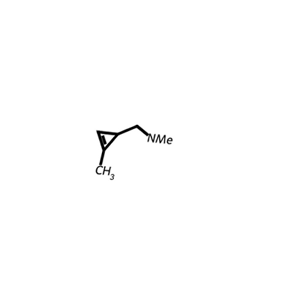 CNCC1C=C1C